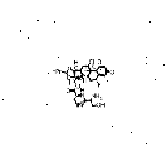 CCCC1O[C@@H]2CC3[C@@H]4C[C@H](F)C5=CC(=O)C=C[C@]5(C)[C@@]4(F)[C@@H](C=O)C[C@]3(C)[C@]2(C(=O)COC(=O)[C@H](CC(C)C)NC(=O)[C@@H](N)CO)O1